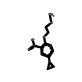 COCCOc1ncc(C2CC2)cc1[N+](=O)[O-]